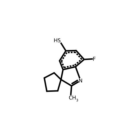 CC1=Nc2c(F)cc(S)cc2C12CCCC2